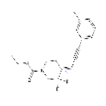 CCOC(=O)N1CC/C(=C\C#Cc2cccc(C)c2)C(F)(F)C1